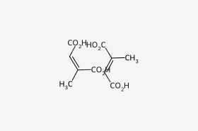 C/C(=C/C(=O)O)C(=O)O.C/C(=C\C(=O)O)C(=O)O